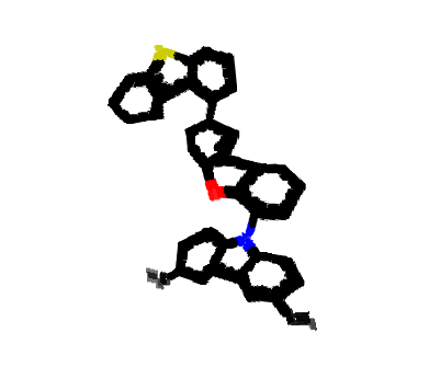 Cc1ccc2c(c1)c1cc(C)ccc1n2-c1cccc2c1oc1ccc(-c3cccc4sc5ccccc5c34)cc12